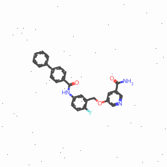 NC(=O)c1cncc(OCc2cc(NC(=O)c3ccc(-c4ccccc4)cc3)ccc2F)c1